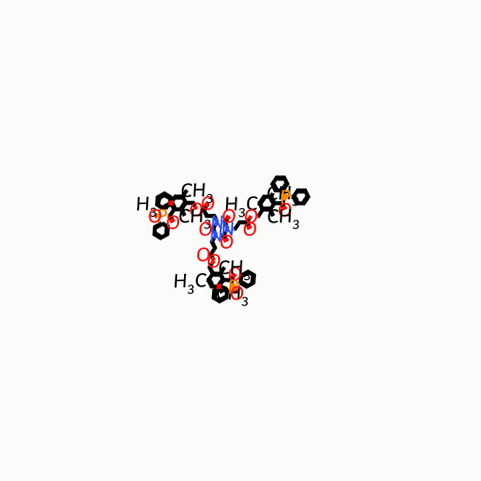 Cc1cc(C)c(C(=O)P(c2ccccc2)c2ccccc2)c(C)c1COC(=O)CCn1c(=O)n(CCC(=O)OCc2c(C)cc(C)c(C(=O)P(=O)(c3ccccc3)c3ccccc3)c2C)c(=O)n(CCC(=O)OCc2c(C)cc(C)c(C(=O)P(=O)(c3ccccc3)c3ccccc3)c2C)c1=O